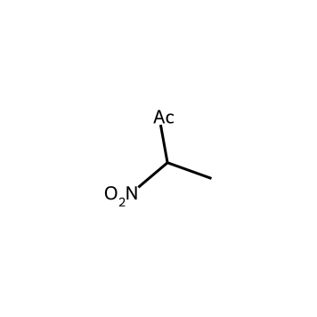 CC(=O)C(C)[N+](=O)[O-]